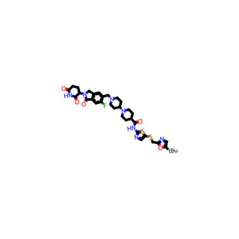 CC(C)(C)c1cnc(CSc2cnc(NC(=O)C3CCN(C4CCN(Cc5cc6c(cc5F)C(=O)N(C5CCC(=O)NC5=O)C6)CC4)CC3)s2)o1